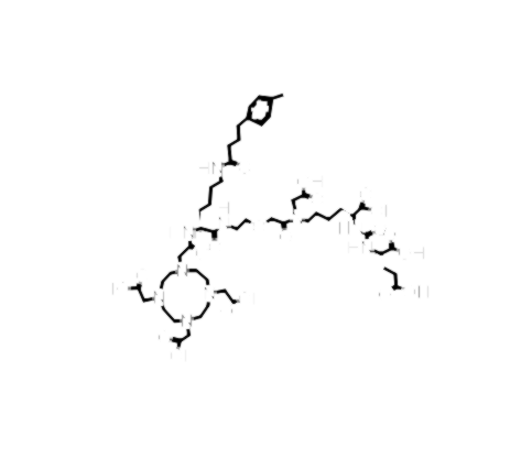 Cc1ccc(CCCC(=O)NCCCC[C@H](NC(=O)CN2CCN(CC(=O)O)CCN(CC(=O)O)CCN(CC(=O)O)CC2)C(=O)NCCOCC(=O)N(CCCC[C@H](NC(=O)N[C@@H](CCC(=O)O)C(=O)O)C(=O)O)CC(=O)O)cc1